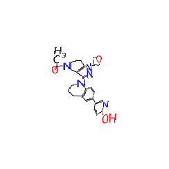 CC(=O)N1CCc2c(c(N3CCCc4cc(-c5ccc(O)nc5)ccc43)nn2C2COC2)C1